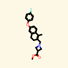 COC(=O)C1CN(CC2=C(C)c3ccc(Oc4ccc(F)cc4)cc3CC2)C1